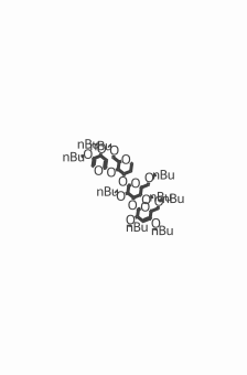 CCCCOCC1OC(OC2C(OCCCC)C(COCCCC)OC(OC3CCOC(COCCCC)C3OC3=CC(OCCCC)C(OCCCC)=CO3)C2OCCCC)C(OCCCC)C=C1OCCCC